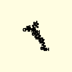 C[C@@H]1CCCN1Cc1sc(NC(=O)c2cnc(N3CCN(CCCC(=O)O)CC3)cn2)nc1-c1cc(Cl)cs1